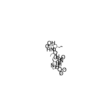 C=CC[C@@H]1CC[C@](CC)(CC(=O)O)c2[nH]c3c(CC)cccc3c21.COc1cc2c(cc1OC)[C@@]13CCN4CC5=CCO[C@H]6CC(=O)N2[C@H]1[C@H]6[C@H]5C[C@H]43